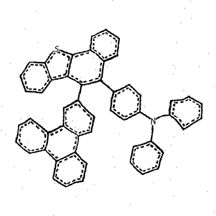 c1ccc(N(c2ccccc2)c2ccc(-c3c(-c4ccc5c6ccccc6c6ccccc6c5c4)c4c5ccccc5sc4c4ccccc34)cc2)cc1